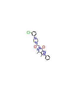 Cc1nn(CC(=O)N2CCN(c3cccc(Cl)c3)CC2)c(=O)c2nn(-c3ccccc3)c(C)c12